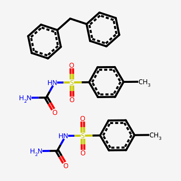 Cc1ccc(S(=O)(=O)NC(N)=O)cc1.Cc1ccc(S(=O)(=O)NC(N)=O)cc1.c1ccc(Cc2ccccc2)cc1